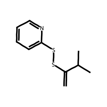 C=C(SSc1ccccn1)C(C)C